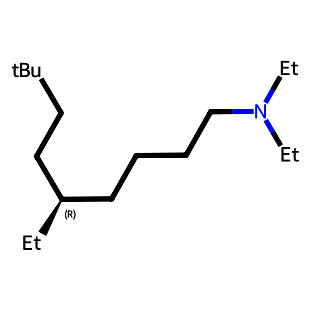 CC[C@H](CCCCN(CC)CC)CCC(C)(C)C